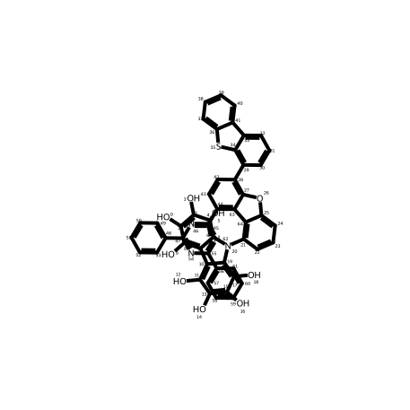 Oc1c(O)c(O)c2c(c1O)c1c(O)c(O)c(O)c(O)c1n2-c1cccc2oc3c(-c4cccc5c4sc4ccccc45)ccc(-c4nc(-c5ccccc5)nc(-c5ccccc5)n4)c3c12